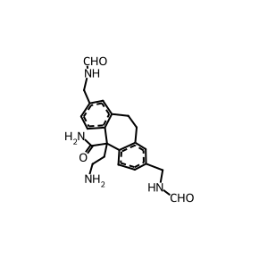 NCCC1(C(N)=O)c2ccc(CNC=O)cc2CCc2cc(CNC=O)ccc21